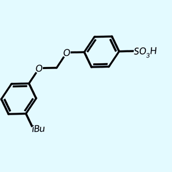 CCC(C)c1cccc(OCOc2ccc(S(=O)(=O)O)cc2)c1